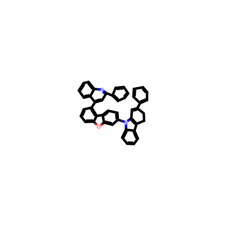 C1=C(c2ccccc2)CCc2c1n(-c1ccc3c(c1)oc1cccc(-c4cc(-c5ccccc5)nc5ccccc45)c13)c1ccccc21